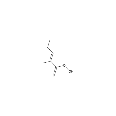 CC/C=C(\C)C(=O)OO